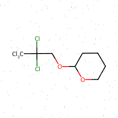 ClC(Cl)(Cl)C(Cl)(Cl)COC1CCCCO1